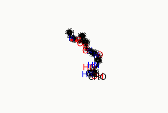 C/C=C\c1c(C(O)CNCc2ccc(C(=O)N3CCC4(CCN(C(=O)COc5cccc(C(C(=O)OCC6CCN(Cc7ccccc7)CC6)c6ccccc6)c5)CC4)CC3)cc2)ccc(O)c1NC=O